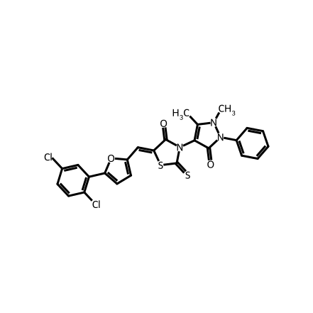 Cc1c(N2C(=O)/C(=C/c3ccc(-c4cc(Cl)ccc4Cl)o3)SC2=S)c(=O)n(-c2ccccc2)n1C